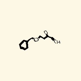 C#CC(=O)CCOCc1ccccc1